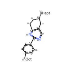 CCCCCCCCc1ccc(-c2ncc3c(n2)CCC(CCCCCCC)C3)cc1